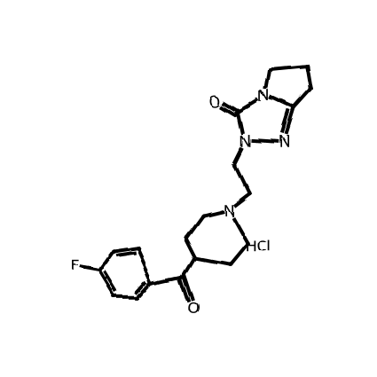 Cl.O=C(c1ccc(F)cc1)C1CCN(CCn2nc3n(c2=O)CCC3)CC1